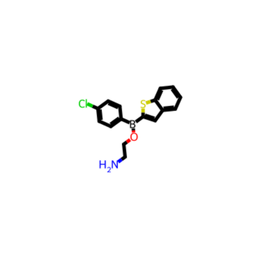 NCCOB(c1ccc(Cl)cc1)c1cc2ccccc2s1